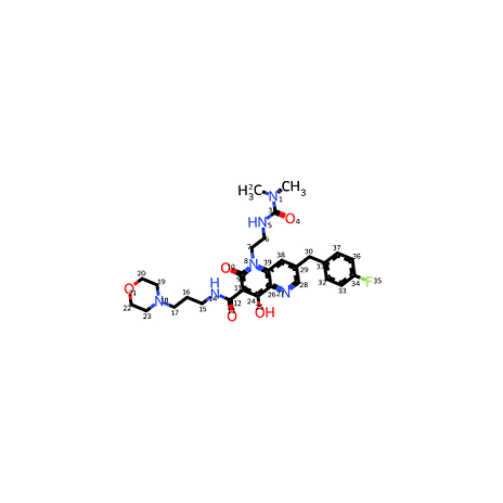 CN(C)C(=O)NCCn1c(=O)c(C(=O)NCCCN2CCOCC2)c(O)c2ncc(Cc3ccc(F)cc3)cc21